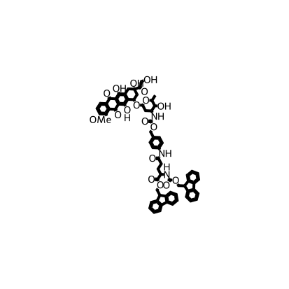 COc1cccc2c1C(=O)c1c(O)c3c(c(O)c1C2=O)C[C@@](O)(C(=O)CO)CC3OC1CC(NC(=O)OCc2ccc(NC(=O)CCC(NC(=O)OCC3c4ccccc4-c4ccccc43)C(=O)OCC3c4ccccc4-c4ccccc43)cc2)C(O)C(C)O1